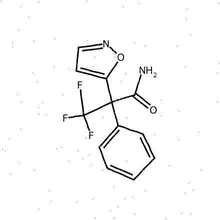 NC(=O)C(c1ccccc1)(c1ccno1)C(F)(F)F